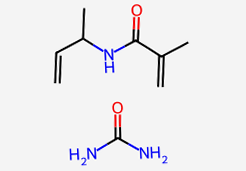 C=CC(C)NC(=O)C(=C)C.NC(N)=O